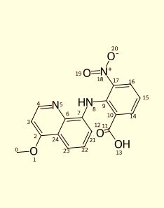 COc1ccnc2c(Nc3c(C(=O)O)cccc3[N+](=O)[O-])cccc12